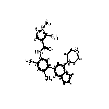 Cc1cc(P)c(NC(=O)c2cnn(C(C)(C)C)c2P)cc1-c1cc(N2CCOCC2)n2nccc2c1